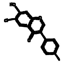 Cc1ccc(-c2coc3cc(O)c(Cl)cc3c2=O)cc1